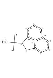 CC(C)(O)C1Cc2cccc3cccc1c23